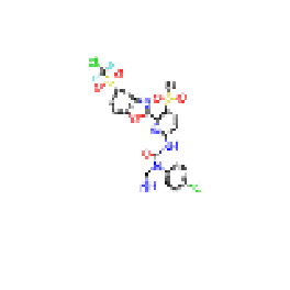 CCS(=O)(=O)c1ccc(NC(=O)N(C=N)c2ccc(Cl)cc2)nc1-c1nc2cc(S(=O)(=O)C(F)(F)Cl)ccc2o1